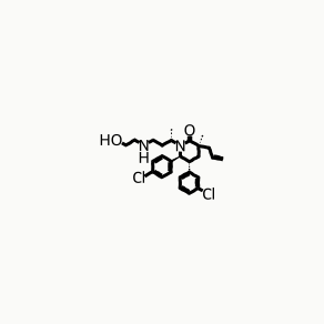 C=CC[C@@]1(C)C[C@H](c2cccc(Cl)c2)[C@@H](c2ccc(Cl)cc2)N([C@@H](C)CCNCCO)C1=O